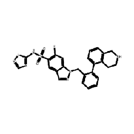 O=S(=O)(Nc1ncns1)c1cc2cnn(Cc3ccccc3-c3cccc4c3CCNC4)c2cc1F